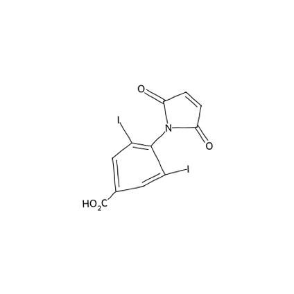 O=C(O)c1cc(I)c(N2C(=O)C=CC2=O)c(I)c1